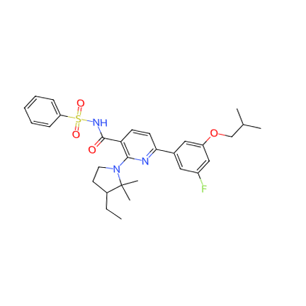 CCC1CCN(c2nc(-c3cc(F)cc(OCC(C)C)c3)ccc2C(=O)NS(=O)(=O)c2ccccc2)C1(C)C